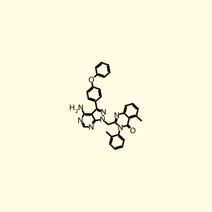 Cc1ccccc1-n1c(Cn2nc(-c3ccc(Oc4ccccc4)cc3)c3c(N)ncnc32)nc2cccc(C)c2c1=O